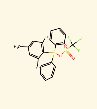 Cc1cc(C)c(S(OS(=O)(=O)C(F)(F)F)(c2ccccc2)c2ccccc2)c(C)c1